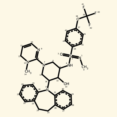 CN=S(=O)(NC1CN(C2=NC=CCN2C)CC(N2c3ccccc3CCc3ccccc32)C1O)c1ccc(OC(F)(F)F)cc1